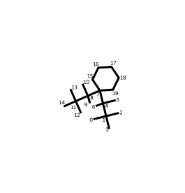 CC(C)(C)C(C)(C)C1(C(C)(C)C(C)(C)C)CCCCC1